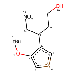 CC(C)(C)Oc1cscc1C(CCO)C[N+](=O)[O-]